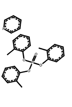 Cc1ccccc1OP(=O)(Oc1ccccc1C)Oc1ccccc1C.c1ccncc1